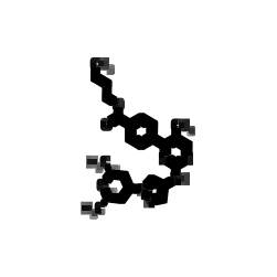 CCCCOC(=O)c1ccc(-c2nc(Nc3cnn(C4C[C@@H](C)O[C@@H](C)C4)c3)ncc2C)cc1